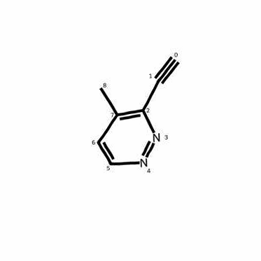 C#Cc1nnccc1C